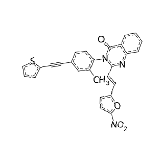 Cc1cc(C#Cc2cccs2)ccc1-n1c(C=Cc2ccc([N+](=O)[O-])o2)nc2ccccc2c1=O